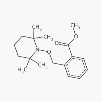 COC(=O)c1ccccc1CON1C(C)(C)CCCC1(C)C